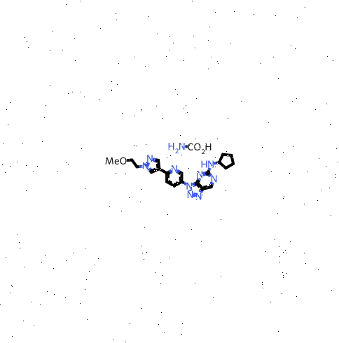 COCCn1cc(-c2ccc(-n3nnc4cnc(NC5CCCC5)nc43)cn2)cn1.NC(=O)O